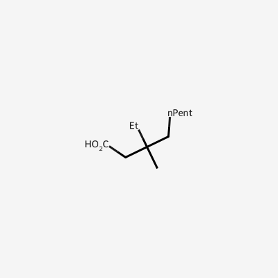 CCCCCCC(C)(CC)CC(=O)O